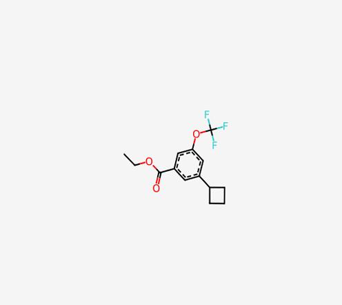 CCOC(=O)c1cc(OC(F)(F)F)cc(C2CCC2)c1